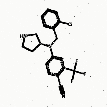 N#Cc1ccc(N(Cc2ccccc2Cl)[C@H]2CCNC2)cc1C(F)(F)F